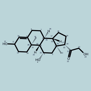 C[C@]12C[C@H](O)[C@H]3[C@@H](CCC4=CC(O)CC[C@@]43C)[C@@H]1CC[C@@H]2C(=O)CO